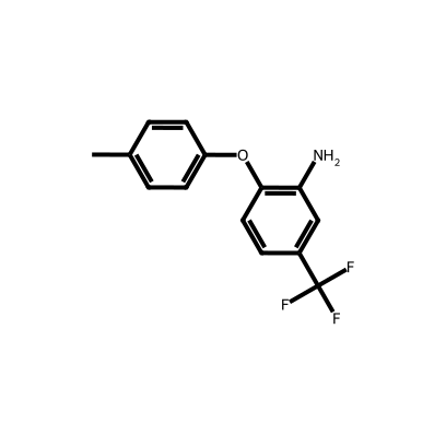 Cc1ccc(Oc2ccc(C(F)(F)F)cc2N)cc1